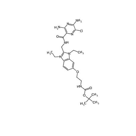 CCn1c(CNC(=O)c2nc(Cl)c(N)nc2N)[n+](CC)c2ccc(OCCNC(=O)OC(C)(C)C)cc21